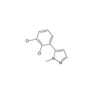 Cn1n[c]cc1-c1cccc(Cl)c1Cl